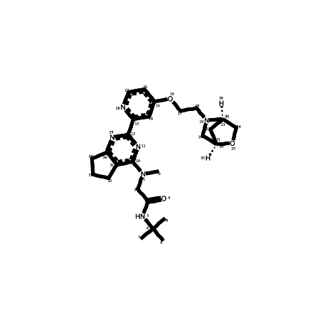 CN(CC(=O)NC(C)(C)C)c1nc(-c2cc(OCCN3C[C@H]4C[C@@H]3CO4)ccn2)nc2c1CCC2